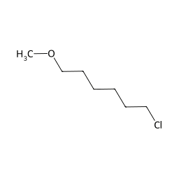 COCCCCCCCl